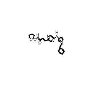 O=C(C=Cc1cnc(N[C@@H]2CCN(CCc3ccccc3)C2)cn1)NOC1CCCCO1